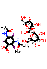 CC(=O)Nc1c(I)c(NC(C)=O)c(I)c(C(=O)[O-])c1I.OC[C@H]1O[C@@](CO)(O[C@H]2O[C@H](CO)[C@@H](O)[C@H](O)[C@H]2O)[C@@H](O)[C@@H]1O.[Na+]